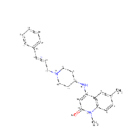 Cc1ccc2c(c1)c(NC1CCN(C/C=C/c3ccccc3)CC1)cc(=O)n2C